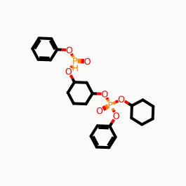 O=[PH](Oc1ccccc1)OC1CCCC(OP(=O)(Oc2ccccc2)OC2CCCCC2)C1